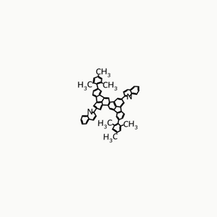 Cc1cc(C)c(-c2ccc3c(c2)c2cc4c(cc5c6cc(-c7c(C)cc(C)cc7C)ccc6c6cc(-c7ccc8ccccc8n7)cc4c65)c4cc(-c5ccc6ccccc6n5)cc3c42)c(C)c1